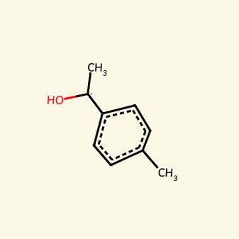 C[C](O)c1ccc(C)cc1